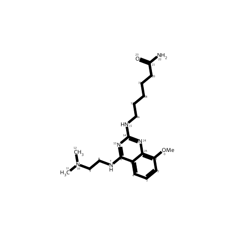 COc1cccc2c(NCCN(C)C)nc(NCCCCCC(N)=O)nc12